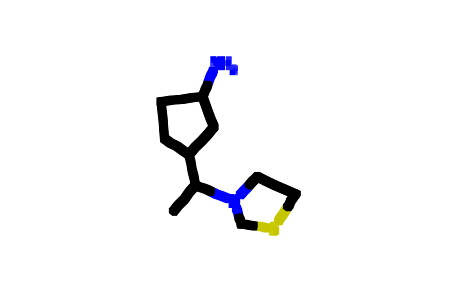 CC(C1CCC(N)C1)N1CCSC1